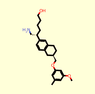 COc1cc(C)cc(OC[C@@H]2CCc3cc([C@H](CN)CCCCO)ccc3C2)c1